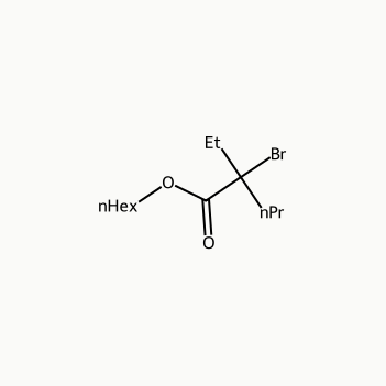 CCCCCCOC(=O)C(Br)(CC)CCC